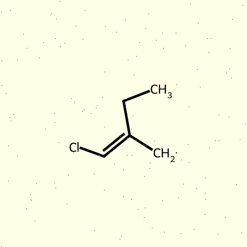 [CH2]/C(=C/Cl)CC